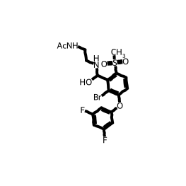 CC(=O)NCCNC(O)c1c(S(C)(=O)=O)ccc(Oc2cc(F)cc(F)c2)c1Br